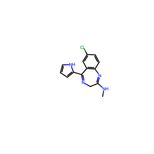 CNC1=Nc2ccc(Cl)cc2C(c2ccc[nH]2)=NC1